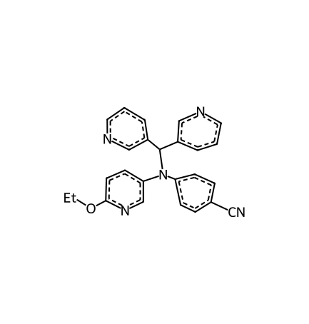 CCOc1ccc(N(c2ccc(C#N)cc2)C(c2cccnc2)c2cccnc2)cn1